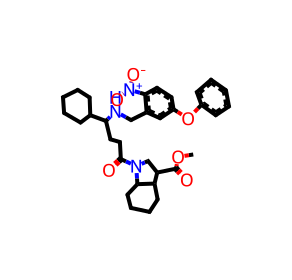 COC(=O)C1CN(C(=O)CCC(NCc2cc(Oc3ccccc3)ccc2[N+](=O)[O-])C2CCCCC2)C2CCCCC12